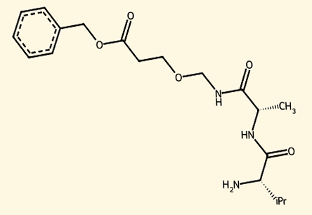 CC(C)[C@H](N)C(=O)N[C@@H](C)C(=O)NCOCCC(=O)OCc1ccccc1